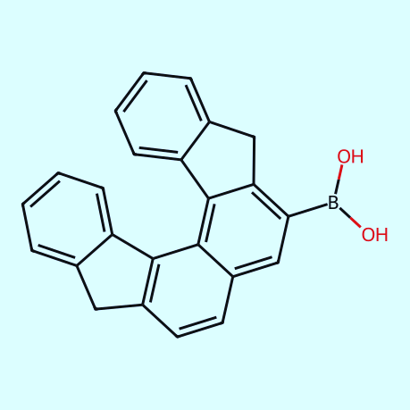 OB(O)c1cc2ccc3c(c2c2c1Cc1ccccc1-2)-c1ccccc1C3